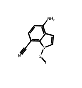 N#Cc1ccc(N)c2ccn(SI)c12